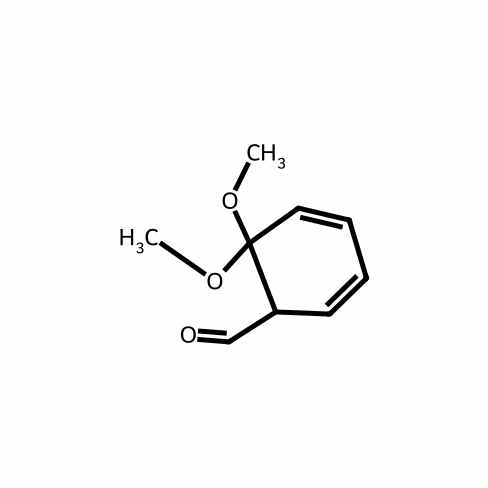 COC1(OC)C=CC=CC1C=O